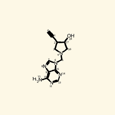 C#CC1CN(Cn2cnc3c(N)ncnc32)CC1O